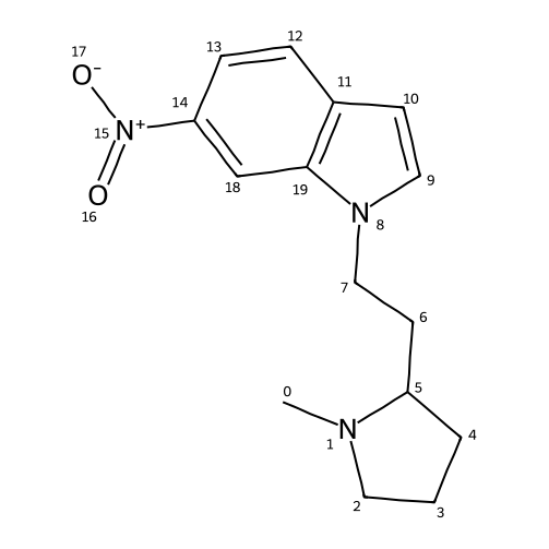 CN1CCCC1CCn1ccc2ccc([N+](=O)[O-])cc21